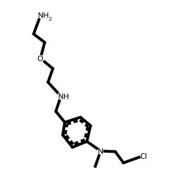 CN(CCCl)c1ccc(CNCCOCCN)cc1